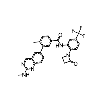 CNc1ncc2cc(-c3cc(C(=O)Nc4cc(C(F)(F)F)ccc4N4CCC4=O)ccc3C)ccc2n1